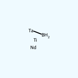 [BH2][Ta].[Nd].[Ti]